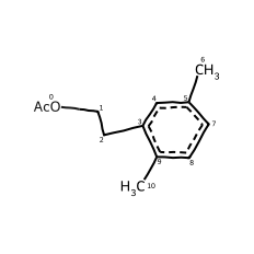 CC(=O)OCCc1cc(C)ccc1C